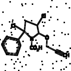 C#CCOC1C(Cl)CC(Cl)(c2ccccc2)N1C(=O)O